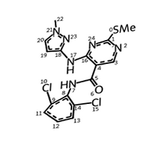 CSc1ncc(C(=O)Nc2c(Cl)cccc2Cl)c(Nc2ccn(C)n2)n1